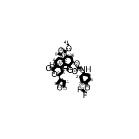 CC[C@@]12CC[C@H]3C(=O)O[C@H](c4ccoc4)C[C@]3(C)[C@H]1C(=O)[C@@H](OC(=O)Nc1ccc(OC(F)F)cc1)C[C@H]2C(=O)OC